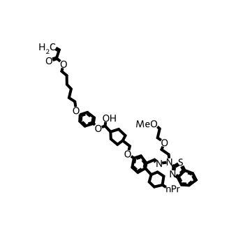 C=CC(=O)OCCCCCCOc1ccc(OC(O)C2CCC(COc3ccc(C4CCC(CCC)CC4)c(/C=N/N(CCOCCOC)c4nc5ccccc5s4)c3)CC2)cc1